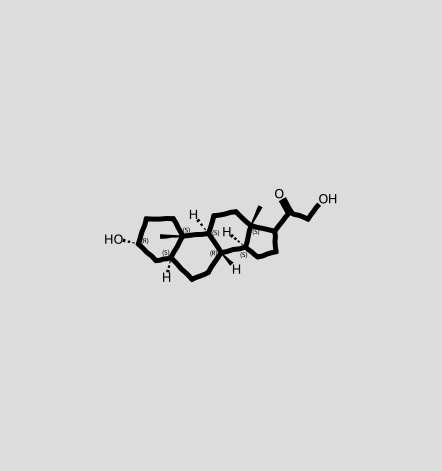 C[C@]12CC[C@@H](O)C[C@@H]1CC[C@@H]1[C@@H]2CC[C@]2(C)C(C(=O)CO)CC[C@@H]12